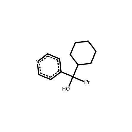 CC(C)C(O)(c1ccncc1)C1CCCCC1